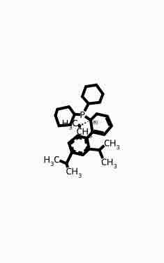 CC(C)c1ccc(C2=CC=CC[C@]2(C(C)C)P(C2CCCCC2)C2CCCCC2)c(C(C)C)c1